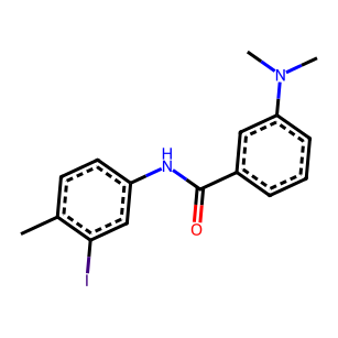 Cc1ccc(NC(=O)c2cccc(N(C)C)c2)cc1I